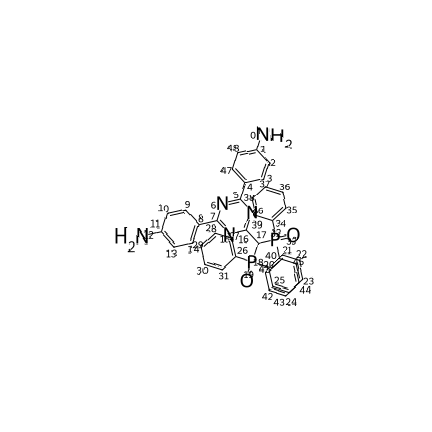 Nc1ccc(-c2nc(-c3ccc(N)cc3)nc(C(P(=O)(c3ccccc3)c3ccccc3)P(=O)(c3ccccc3)c3ccccc3)n2)cc1